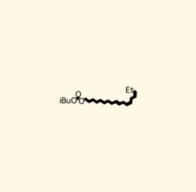 CC/C=C\C/C=C\C/C=C/CCCCCCCCOC(=O)OCC(C)C